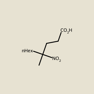 CCCCCCC(C)(CCC(=O)O)[N+](=O)[O-]